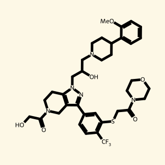 COc1ccccc1C1CCN(CC(O)Cn2nc(-c3ccc(C(F)(F)F)c(SCC(=O)N4CCOCC4)c3)c3c2CCN(C(=O)CO)C3)CC1